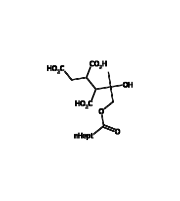 CCCCCCCC(=O)OCC(C)(O)C(C(=O)O)C(CC(=O)O)C(=O)O